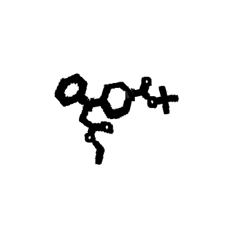 CCOC(=O)CN(c1ccccc1)C1CCN(C(=O)OC(C)(C)C)CC1